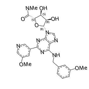 CNC(=O)[C@H]1O[C@@H](n2cnc3c(NCc4cccc(OC)c4)nc(-c4cncc(OC)c4)nc32)[C@H](O)[C@@H]1O